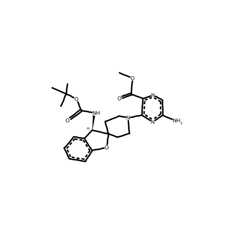 COC(=O)c1ncc(N)nc1N1CCC2(CC1)Oc1ccccc1[C@H]2NC(=O)OC(C)(C)C